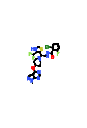 Cn1ncc2c(OC3CCN(C(CNC(=O)c4c(F)cccc4Cl)C4=C(C(F)F)NCS4)CC3)ncnc21